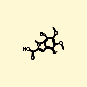 COc1c(OC)c(Br)c2c(cc(C(=O)O)n2C)c1Br